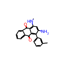 CNc1cc(N)c(-c2cccc(C)c2)c2c1C(=O)c1ccccc1C2=O